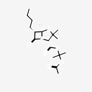 CCCC[C@@H]1C(=O)N2[C@@H]1SC(C)(C)[C@@H]2C(=O)SC(C)(C)OC(C)=O